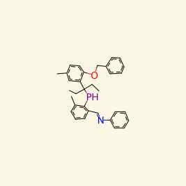 CCC(CC)(Pc1c(C)cccc1/C=N/c1ccccc1)c1cc(C)ccc1OCc1ccccc1